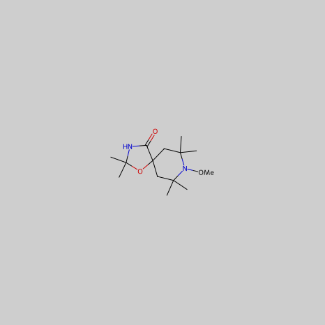 CON1C(C)(C)CC2(CC1(C)C)OC(C)(C)NC2=O